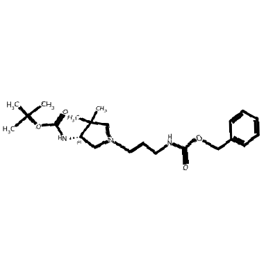 CC(C)(C)OC(=O)N[C@H]1CN(CCCNC(=O)OCc2ccccc2)CC1(C)C